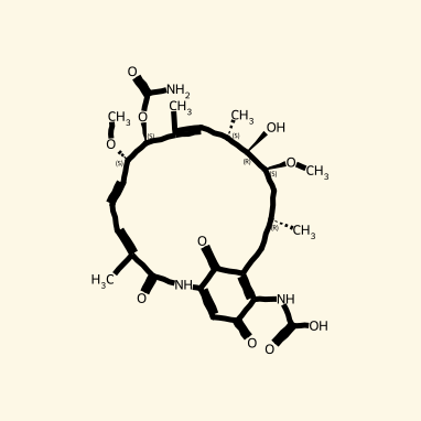 CO[C@H]1C=CC=C(C)C(=O)NC2=CC(=O)C(NC(=O)O)=C(C[C@@H](C)C[C@H](OC)[C@H](O)[C@@H](C)C=C(C)[C@@H]1OC(N)=O)C2=O